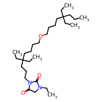 CCCC(CC)(CC)CCCCOCCCCC(CC)(CC)CCCN1C(=O)CN(CC)C1=O